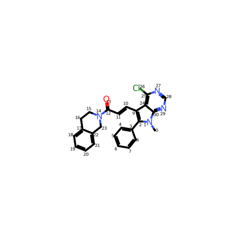 Cn1c(-c2ccccc2)c(/C=C/C(=O)N2CCc3ccccc3C2)c2c(Cl)ncnc21